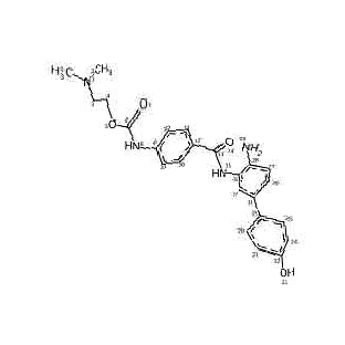 CN(C)CCOC(=O)Nc1ccc(C(=O)Nc2cc(-c3ccc(O)cc3)ccc2N)cc1